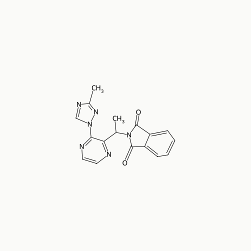 Cc1ncn(-c2nccnc2C(C)N2C(=O)c3ccccc3C2=O)n1